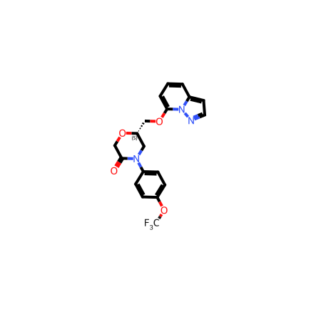 O=C1CO[C@H](COc2cccc3ccnn23)CN1c1ccc(OC(F)(F)F)cc1